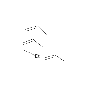 C=CC.C=CC.C=CC.CCC